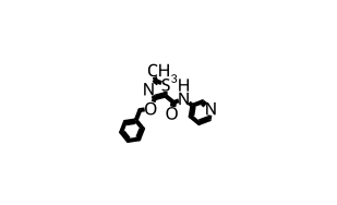 Cc1nc(OCc2ccccc2)c(C(=O)Nc2cccnc2)s1